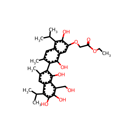 CCOC(=O)COc1cc2c(O)c(-c3c(C)cc4c(C(C)C)c(O)c(O)c(CO)c4c3O)c(C)cc2c(C(C)C)c1O